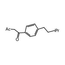 CC(=O)CC(=O)c1ccc(CCC(C)C)cc1